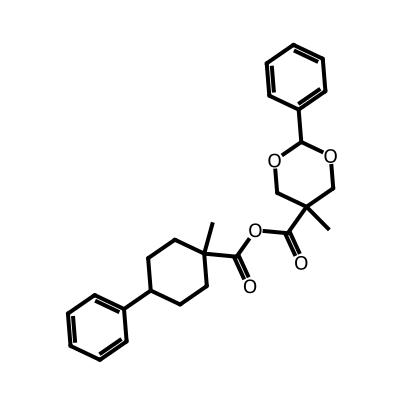 CC1(C(=O)OC(=O)C2(C)COC(c3ccccc3)OC2)CCC(c2ccccc2)CC1